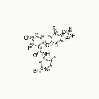 Cc1cnc(Br)cc1NC(=O)c1c(Oc2ccc(OC(F)(F)F)c(F)c2)ccc(Cl)c1F